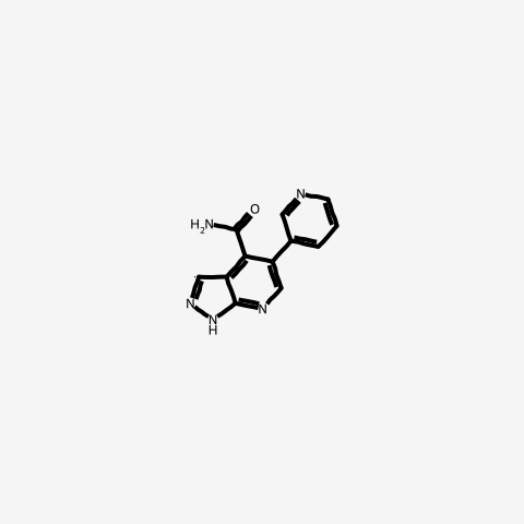 NC(=O)c1c(-c2cccnc2)cnc2[nH]n[c]c12